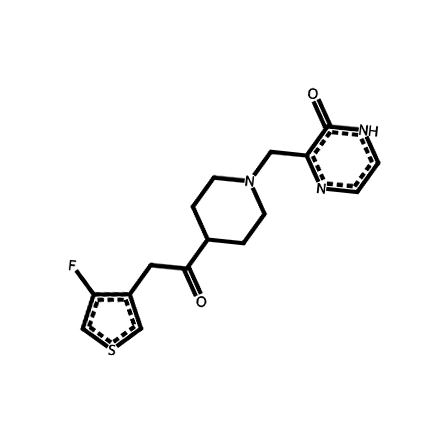 O=C(Cc1cscc1F)C1CCN(Cc2ncc[nH]c2=O)CC1